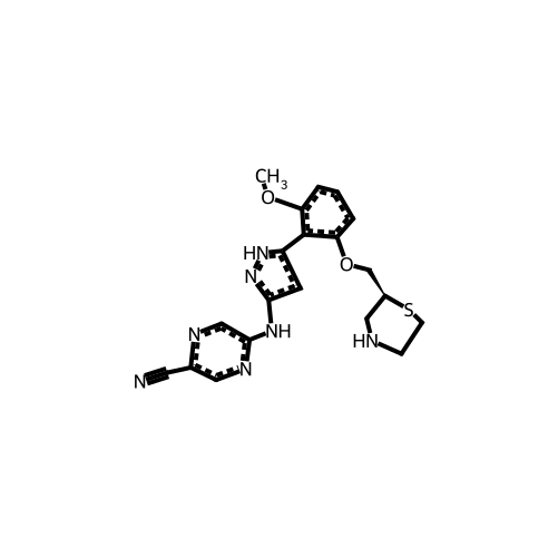 COc1cccc(OC[C@@H]2CNCCS2)c1-c1cc(Nc2cnc(C#N)cn2)n[nH]1